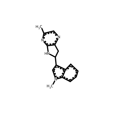 Cc1cnc2c(n1)NC(c1cn(C)c3ccccc13)C2